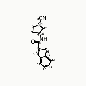 N#CN1CC[C@H](NC(=O)c2nc3ccccc3s2)C1